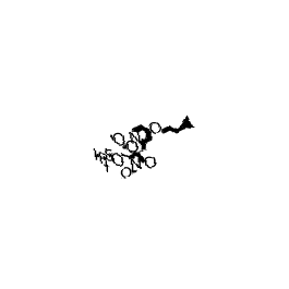 COCO[C@@]1(Cc2cc(OCCCC3CC3)ccn2)C(=O)N(COC)[C@H]1COSP(I)I